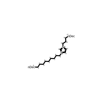 CCCCCCCCCCCCCCCCCCCn1cc[n+](CCCCCCCCCCCCC)c1